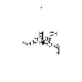 COc1ccc2c(c1)C[C@H](C(=O)Nc1ccc(-c3cn[nH]c3)cc1OCCO)NC2